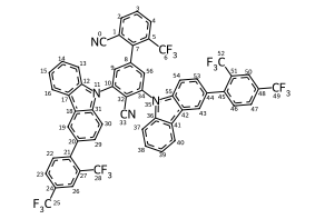 N#Cc1cccc(C(F)(F)F)c1-c1cc(-n2c3ccccc3c3cc(-c4ccc(C(F)(F)F)cc4C(F)(F)F)ccc32)c(C#N)c(-n2c3ccccc3c3cc(-c4ccc(C(F)(F)F)cc4C(F)(F)F)ccc32)c1